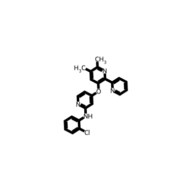 Cc1cc(Oc2ccnc(Nc3ccccc3Cl)c2)c(-c2ccccn2)nc1C